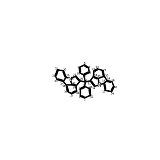 c1ccc(C(c2ccccc2)(c2cn3c4ccccc4c4cccc2c43)c2cn3c4ccccc4c4cccc2c43)cc1